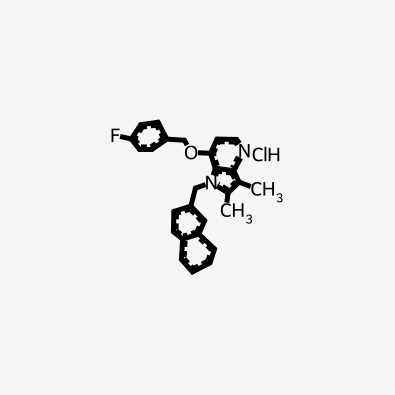 Cc1c(C)n(Cc2ccc3ccccc3c2)c2c(OCc3ccc(F)cc3)ccnc12.Cl